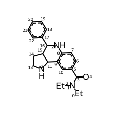 CCN(CC)C(=O)c1ccc2c(c1)C1NCCC1C(c1ccccc1)N2